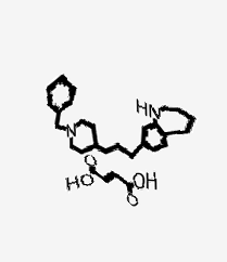 O=C(O)C=CC(=O)O.c1ccc(CN2CCC(CCCc3ccc4c(c3)NCCCC4)CC2)cc1